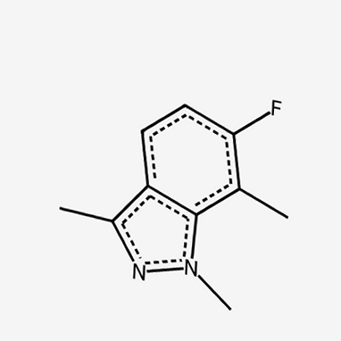 Cc1nn(C)c2c(C)c(F)ccc12